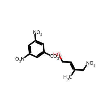 CC(=CCO)C[N+](=O)[O-].O=C(O)c1cc([N+](=O)[O-])cc([N+](=O)[O-])c1